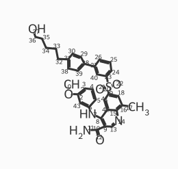 COc1cccc(Nc2c(C(N)=O)cnc3c(C)cc(S(=O)(=O)c4cccc(-c5ccc(CCCCCO)cc5)c4)cc23)c1